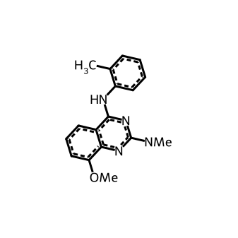 CNc1nc(Nc2ccccc2C)c2cccc(OC)c2n1